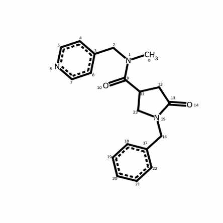 CN(Cc1ccncc1)C(=O)C1CC(=O)N(Cc2ccccc2)C1